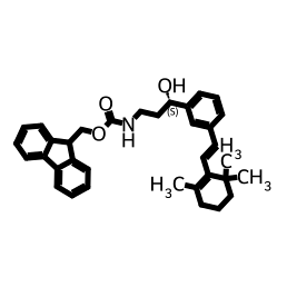 CC1=C(C=Cc2cccc([C@@H](O)CCNC(=O)OCC3c4ccccc4-c4ccccc43)c2)C(C)(C)CCC1